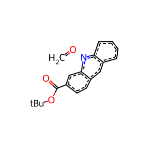 C=O.CC(C)(C)OC(=O)c1ccc2cc3ccccc3nc2c1